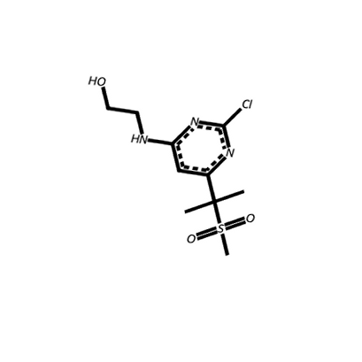 CC(C)(c1cc(NCCO)nc(Cl)n1)S(C)(=O)=O